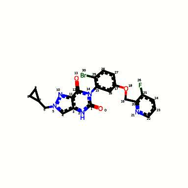 O=c1[nH]c2cn(CC3CC3)nc2c(=O)n1-c1cc(OCc2ncccc2F)ccc1Br